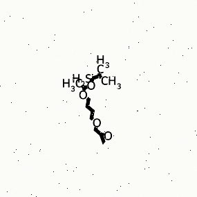 CC(OCCCCOCC1CO1)O[SiH2]C(C)C